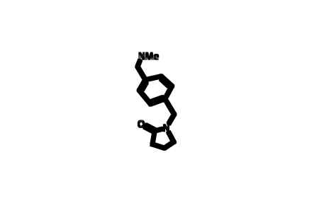 CNCc1ccc(CN2CCCC2=O)cc1